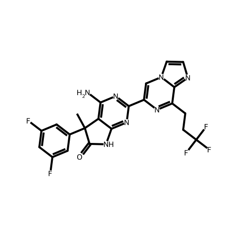 CC1(c2cc(F)cc(F)c2)C(=O)Nc2nc(-c3cn4ccnc4c(CCC(F)(F)F)n3)nc(N)c21